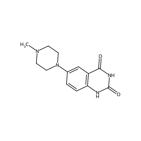 CN1CCN(c2ccc3[nH]c(=O)[nH]c(=O)c3c2)CC1